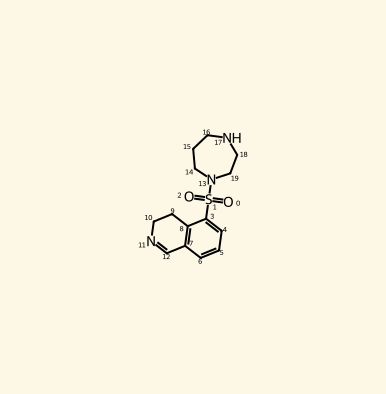 O=S(=O)(c1cccc2c1CCN=C2)N1CCCNCC1